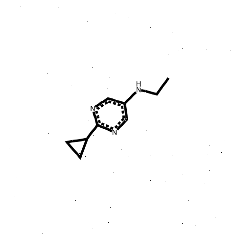 CCNc1cnc(C2CC2)nc1